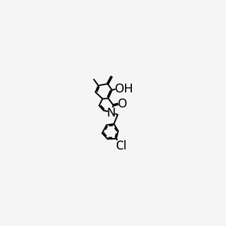 C=C1C(C)=CC2C=CN(Cc3cccc(Cl)c3)C(=O)C2=C1O